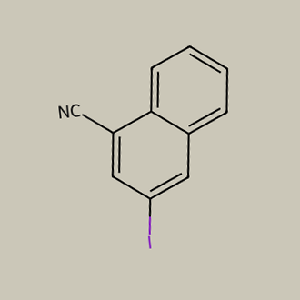 N#Cc1cc(I)cc2ccccc12